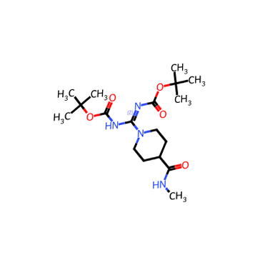 CNC(=O)C1CCN(/C(=N\C(=O)OC(C)(C)C)NC(=O)OC(C)(C)C)CC1